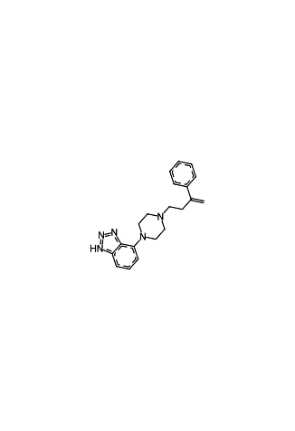 C=C(CCN1CCN(c2cccc3[nH]nnc23)CC1)c1ccccc1